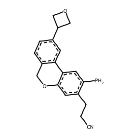 N#CCCc1cc2c(cc1P)-c1cc(C3COC3)ccc1CO2